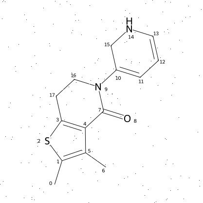 Cc1sc2c(c1C)C(=O)N(C1=CC=CNC1)CC2